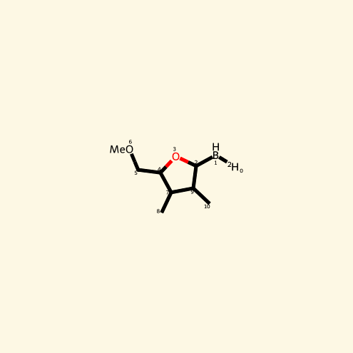 [2H]BC1OC(COC)C(C)C1C